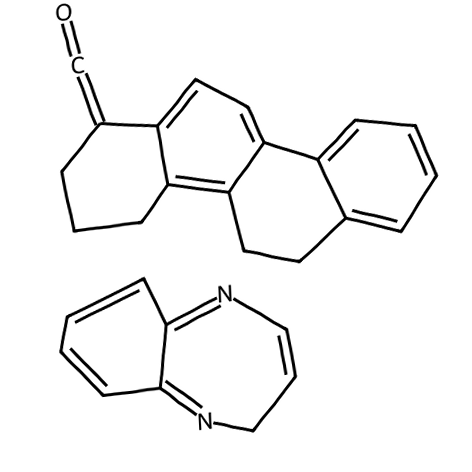 C1=CN=c2ccccc2=NC1.O=C=C1CCCc2c1ccc1c2CCc2ccccc2-1